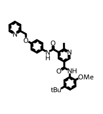 COc1ccc(C(C)(C)C)cc1NC(=O)c1cnc(C)c(C(=O)Nc2ccc(OCc3ccccn3)cc2)c1